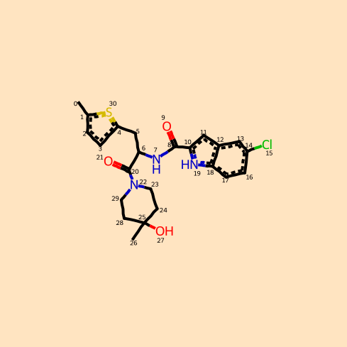 Cc1ccc(CC(NC(=O)c2cc3cc(Cl)ccc3[nH]2)C(=O)N2CCC(C)(O)CC2)s1